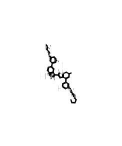 CC1C=C(c2cc(F)cc(OCCN3CCCC3)c2)c2cc(-c3n[nH]c4ccc(-c5cncc(OCCN(C)C)c5)cc34)[nH]c2C1